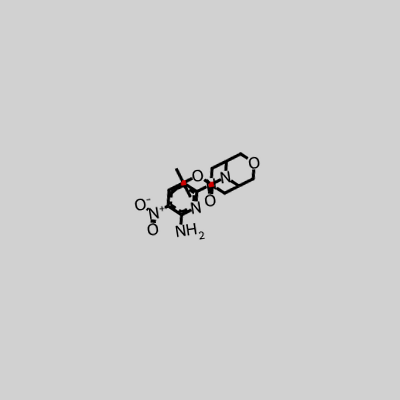 CC(C)(C)OC(=O)N1C2COCC1CN(c1ccc([N+](=O)[O-])c(N)n1)C2